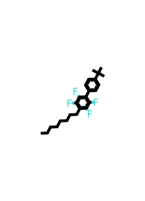 CCCCCCCCc1c(F)c(F)c(-c2ccc(C(C)(C)C)cc2)c(F)c1F